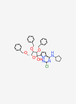 OC1(c2ccc3c(NC4CCCC4)nc(Cl)nn23)O[C@H](COCc2ccccc2)[C@@H](OCc2ccccc2)[C@H]1OCc1ccccc1